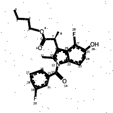 CCCCOC(=O)[C@@H](C)c1c(C)n(C(=O)c2cccc(F)c2)c2ccc(O)c(F)c12